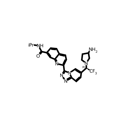 CC(C)NC(=O)c1ccc2ccc(-c3nnc4ccc([C@@H](N5CCC(N)C5)C(F)(F)F)cn34)nc2c1